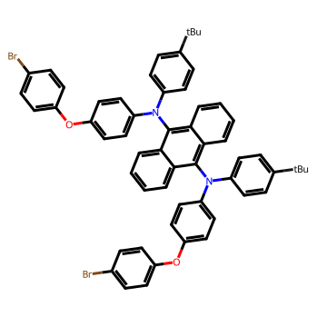 CC(C)(C)c1ccc(N(c2ccc(Oc3ccc(Br)cc3)cc2)c2c3ccccc3c(N(c3ccc(Oc4ccc(Br)cc4)cc3)c3ccc(C(C)(C)C)cc3)c3ccccc23)cc1